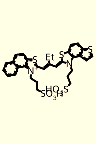 CCC(/C=C1\Sc2ccc3sccc3c2N1CCCS(=O)(=O)O)=C\c1sc2ccc3ccccc3c2[n+]1CCCS(=O)(=O)O